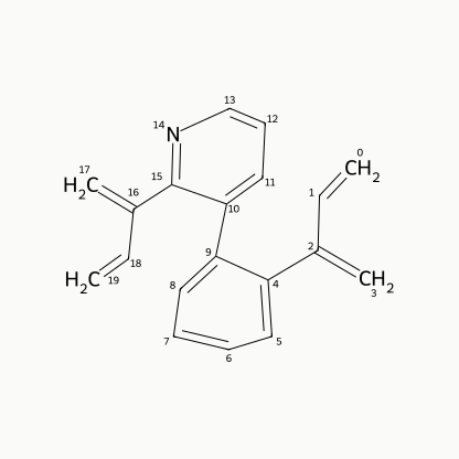 C=CC(=C)c1ccccc1-c1cccnc1C(=C)C=C